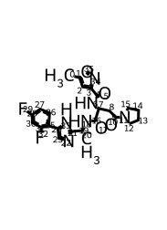 Cc1cc(C(=O)NC(CC(=O)N2CCCC2)C(=O)N[C@@H](C)c2ncc(-c3ccc(F)cc3F)[nH]2)no1